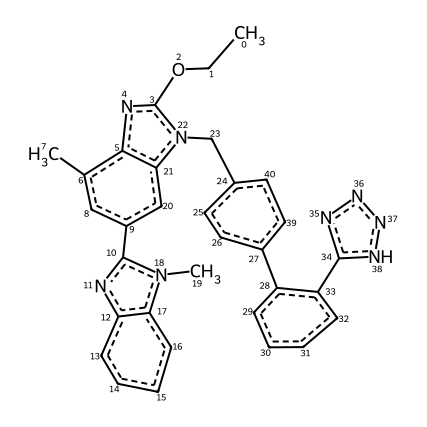 CCOc1nc2c(C)cc(-c3nc4ccccc4n3C)cc2n1Cc1ccc(-c2ccccc2-c2nnn[nH]2)cc1